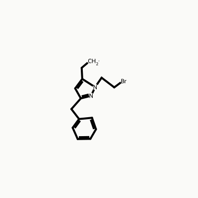 [CH2]Cc1cc(Cc2ccccc2)nn1CCBr